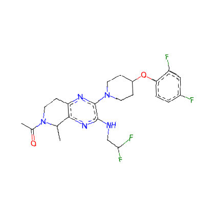 CC(=O)N1CCc2nc(N3CCC(Oc4ccc(F)cc4F)CC3)c(NCC(F)F)nc2C1C